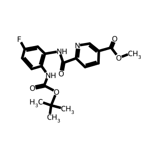 COC(=O)c1ccc(C(=O)Nc2cc(F)ccc2NC(=O)OC(C)(C)C)nc1